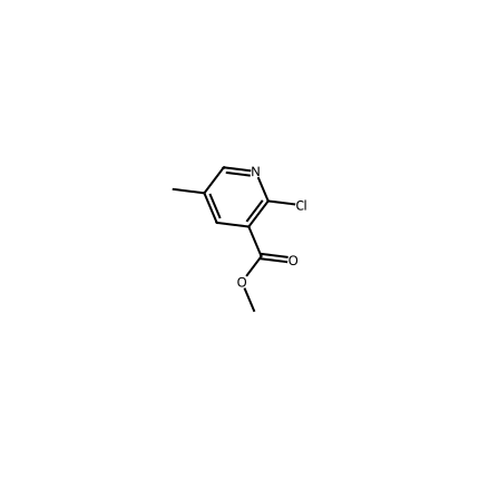 COC(=O)c1cc(C)cnc1Cl